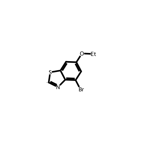 CCOc1cc(Br)c2n[c]sc2c1